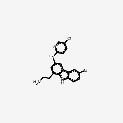 NCCc1cc(Nc2ccc(Cl)cn2)cc2c1[nH]c1ccc(Cl)cc12